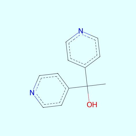 CC(O)(c1ccncc1)c1ccncc1